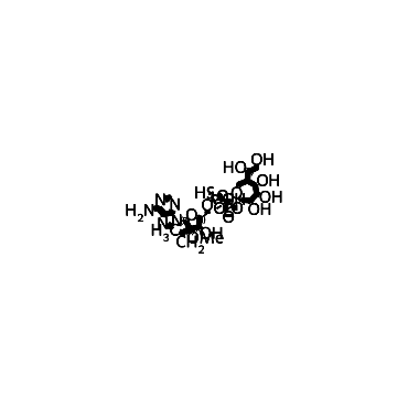 C=C(C)[C@@]1(OC)[C@H](O)[C@@H](COP(=O)(S)OP(=O)(O)OC2OCC([C@@H](O)CO)C(O)C(O)C2O)O[C@H]1n1cnc2c(N)ncnc21